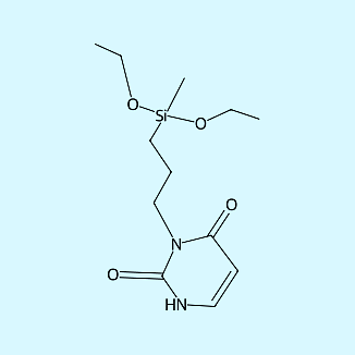 CCO[Si](C)(CCCn1c(=O)cc[nH]c1=O)OCC